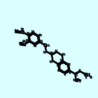 CCCC(CN)c1ccc2c(c1)CCC(COc1ccc(OC)c(C(C)(C)C)c1)C2